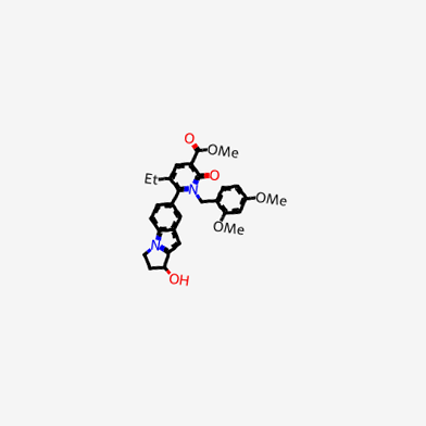 CCc1cc(C(=O)OC)c(=O)n(Cc2ccc(OC)cc2OC)c1-c1ccc2c(c1)cc1n2CCC1O